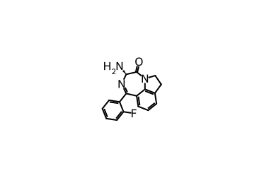 N[C@@H]1N=C(c2ccccc2F)c2cccc3c2N(CC3)C1=O